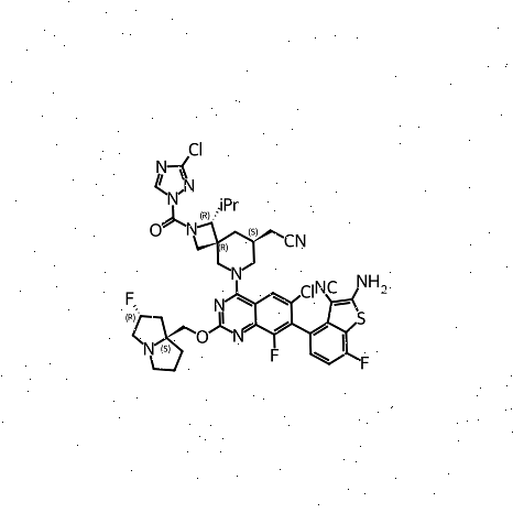 CC(C)[C@H]1N(C(=O)n2cnc(Cl)n2)C[C@]12C[C@@H](CC#N)CN(c1nc(OC[C@@]34CCCN3C[C@H](F)C4)nc3c(F)c(-c4ccc(F)c5sc(N)c(C#N)c45)c(Cl)cc13)C2